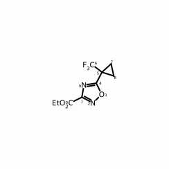 CCOC(=O)c1noc(C2(C(F)(F)F)CC2)n1